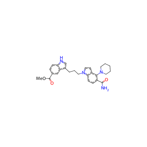 COC(=O)c1ccc2[nH]cc(CCCn3ccc4c(N5CCCCC5)c(C(N)=O)ccc43)c2c1